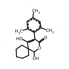 Cc1cc(C)c(C2=C(O)C3(CCCCC3)C(O)OC2=O)c(C)c1